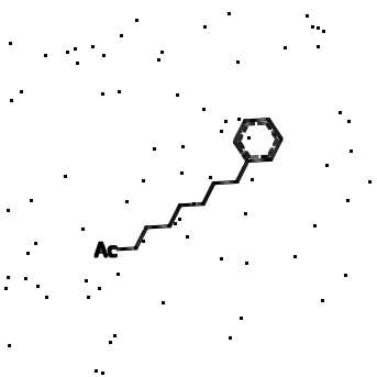 CC(=O)CCCCCCCc1ccccc1